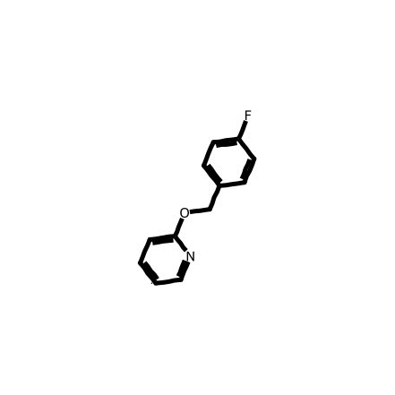 Fc1ccc(COc2cc[c]cn2)cc1